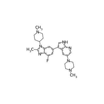 Cc1nc2c(F)cc(-c3c[nH]c4ncc(N5CCN(C)CC5)cc34)cc2n1C1CCN(C)CC1